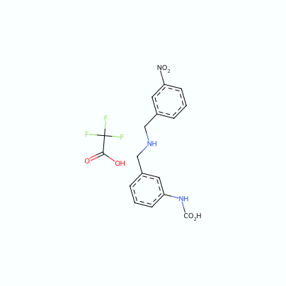 O=C(O)C(F)(F)F.O=C(O)Nc1cccc(CNCc2cccc([N+](=O)[O-])c2)c1